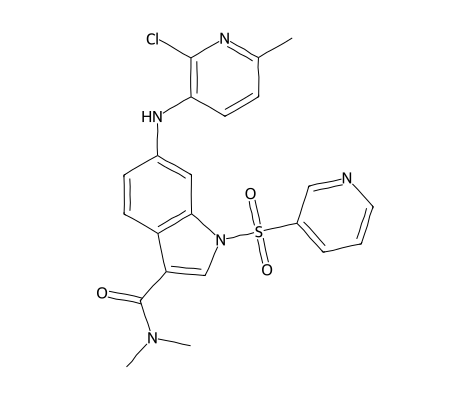 Cc1ccc(Nc2ccc3c(C(=O)N(C)C)cn(S(=O)(=O)c4cccnc4)c3c2)c(Cl)n1